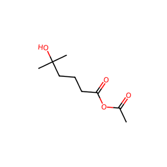 CC(=O)OC(=O)CCCC(C)(C)O